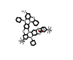 Cc1cc2c3c(c1)N(c1ccccc1)c1cc4c(cc1B3c1ccccc1O2)B1c2cc3c(cc2N(c2ccccc2)c2cc(S(F)(F)(F)(F)F)cc(c21)O4)Oc1cc(S(F)(F)(F)(F)F)cc2c1B3c1ccccc1O2